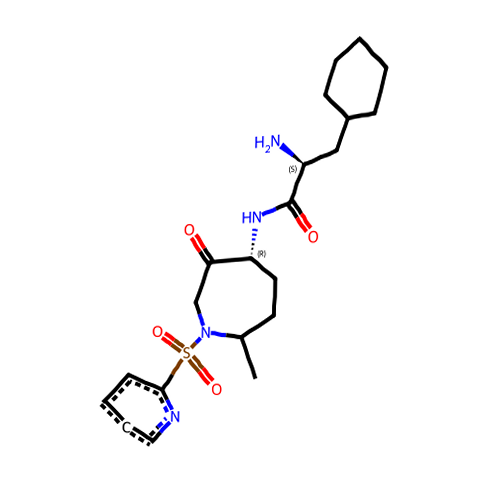 CC1CC[C@@H](NC(=O)[C@@H](N)CC2CCCCC2)C(=O)CN1S(=O)(=O)c1ccccn1